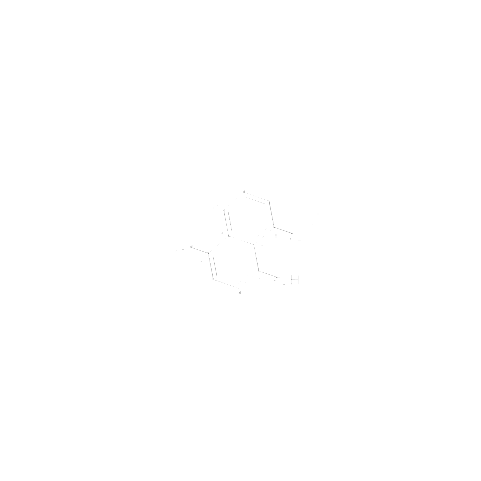 COc1ccc(O)c2c(OC)cccc12